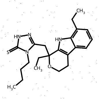 CCCCn1c(CC2(CC)OCCc3c2[nH]c2c(CC)cccc32)n[nH]c1=S